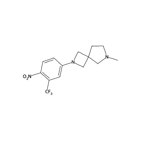 CN1CCC2(C1)CN(c1ccc([N+](=O)[O-])c(C(F)(F)F)c1)C2